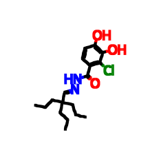 CCCC(/C=N/NC(=O)c1ccc(O)c(O)c1Cl)(CCC)CCC